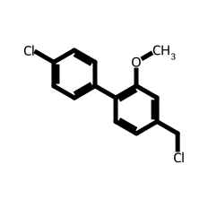 COc1cc(CCl)ccc1-c1ccc(Cl)cc1